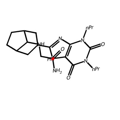 CCCn1c(=O)c2[nH]c(C3CC4CCC(C3)C4NCC(N)=O)nc2n(CCC)c1=O